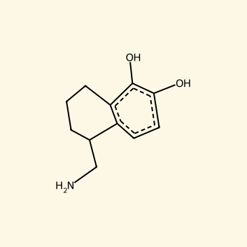 NCC1CCCc2c1ccc(O)c2O